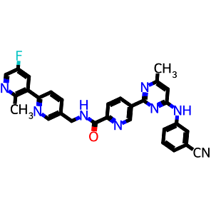 Cc1cc(Nc2cccc(C#N)c2)nc(-c2ccc(C(=O)NCc3ccc(-c4cc(F)cnc4C)nc3)nc2)n1